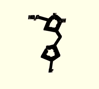 O=C(O)c1cc(Cc2cc(Br)cs2)[nH]n1